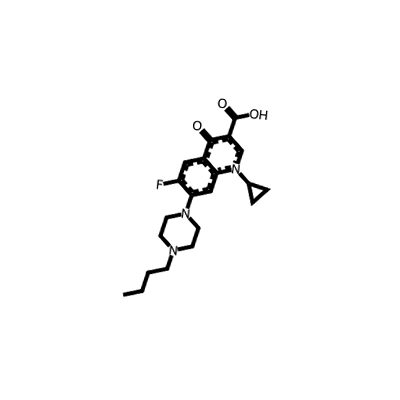 CCCCN1CCN(c2cc3c(cc2F)c(=O)c(C(=O)O)cn3C2CC2)CC1